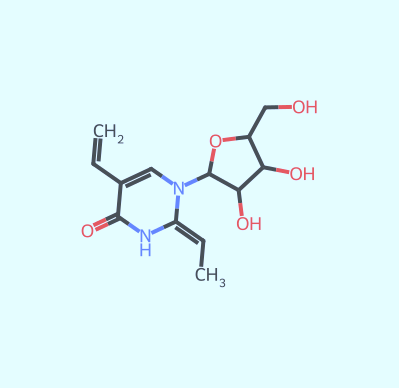 C=CC1=CN(C2OC(CO)C(O)C2O)C(=CC)NC1=O